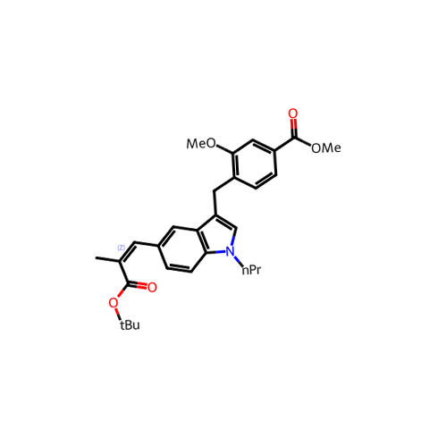 CCCn1cc(Cc2ccc(C(=O)OC)cc2OC)c2cc(/C=C(/C)C(=O)OC(C)(C)C)ccc21